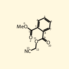 COC(=O)c1ccccc1C(=O)OCC#N